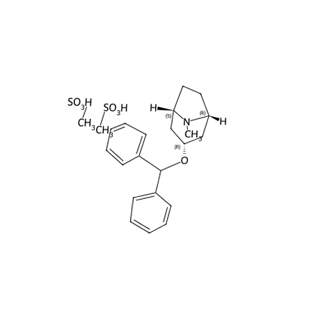 CN1[C@@H]2CC[C@H]1C[C@@H](OC(c1ccccc1)c1ccccc1)C2.CS(=O)(=O)O.CS(=O)(=O)O